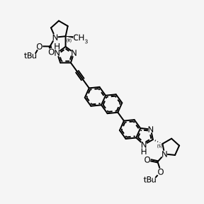 CC(C)(C)OC(=O)N1CCC[C@H]1c1nc2cc(-c3ccc4cc(C#Cc5c[nH]c([C@@]6(C)CCCN6C(=O)OC(C)(C)C)n5)ccc4c3)ccc2[nH]1